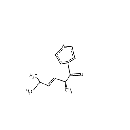 CC(C)/C=C/[C@H](C)C(=O)c1ccncc1